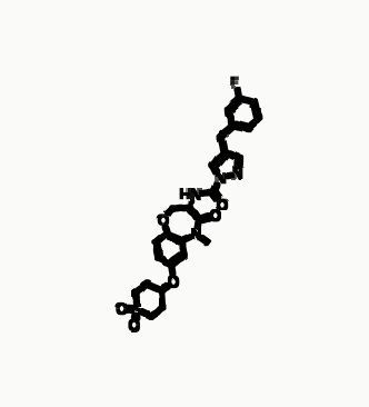 CN1C(=O)[C@@H](NC(=O)n2cc(Cc3cccc(F)c3)cn2)COc2ccc(OC3CCS(=O)(=O)CC3)cc21